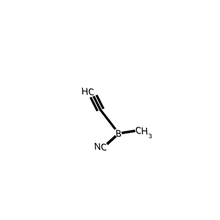 C#CB(C)C#N